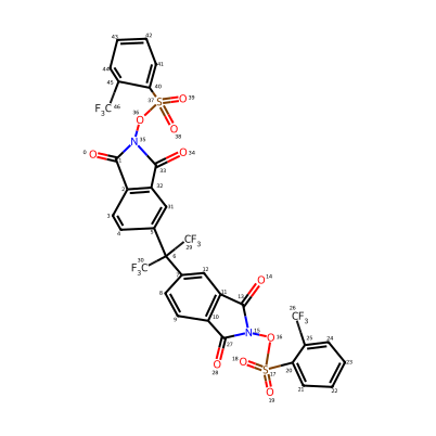 O=C1c2ccc(C(c3ccc4c(c3)C(=O)N(OS(=O)(=O)c3ccccc3C(F)(F)F)C4=O)(C(F)(F)F)C(F)(F)F)cc2C(=O)N1OS(=O)(=O)c1ccccc1C(F)(F)F